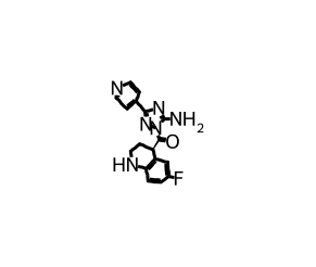 Nc1nc(-c2ccncc2)nn1C(=O)[C@@H]1CCNc2ccc(F)cc21